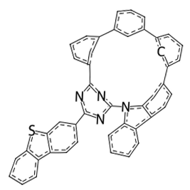 c1cc2cc(c1)-c1cccc(c1)-c1nc(-c3ccc4c(c3)sc3ccccc34)nc(n1)-n1c3ccccc3c3ccc(cc31)-c1cccc-2c1